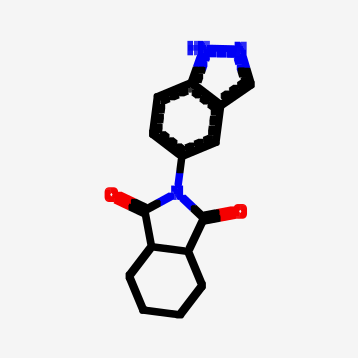 O=C1C2CCCCC2C(=O)N1c1ccc2[nH]ncc2c1